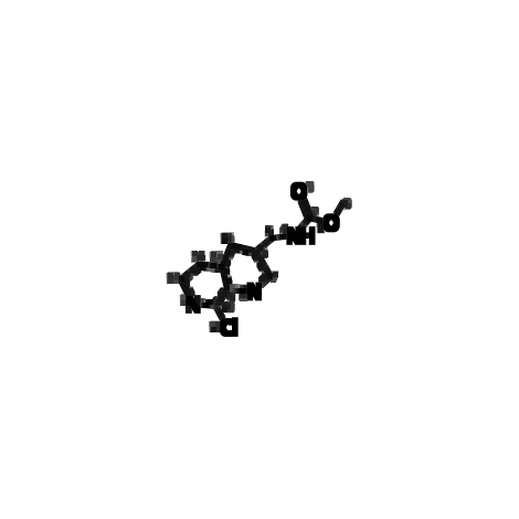 COC(=O)NCc1cnc2c(Cl)nccc2c1